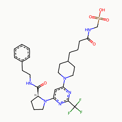 O=C(CCCC1CCN(c2cc(N3CCC[C@H]3C(=O)NCCc3ccccc3)nc(C(F)(F)F)n2)CC1)NCS(=O)(=O)O